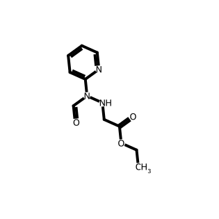 CCOC(=O)CNN(C=O)c1ccccn1